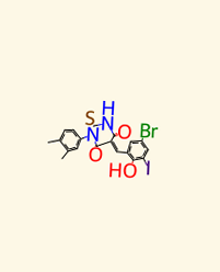 Cc1ccc(N2C(=O)/C(=C/c3cc(Br)cc(I)c3O)C(=O)NC2=S)cc1C